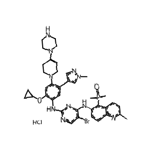 Cc1ccc2c(P(C)(C)=O)c(Nc3nc(Nc4cc(-c5cnn(C)c5)c(N5CCC(N6CCNCC6)CC5)cc4OC4CC4)ncc3Br)ccc2n1.Cl